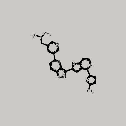 Cc1ccc(-c2nccc3[nH]c(-c4n[nH]c5ccc(-c6cncc(CN(C)C)c6)nc45)cc23)s1